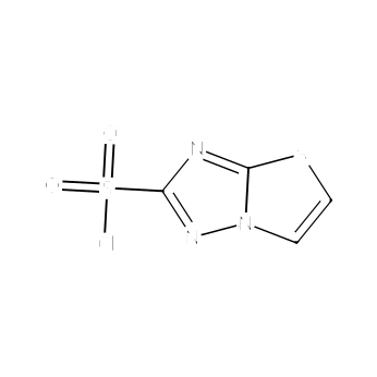 O=S(=O)(Cl)c1nc2sccn2n1